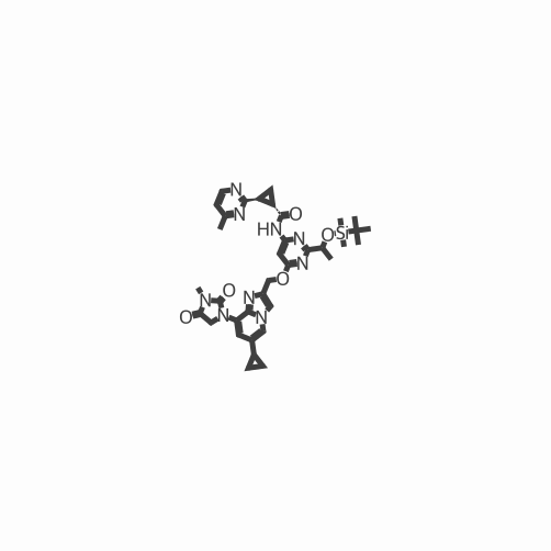 Cc1ccnc([C@H]2C[C@@H]2C(=O)Nc2cc(OCc3cn4cc(C5CC5)cc(N5CC(=O)N(C)C5=O)c4n3)nc(C(C)O[Si](C)(C)C(C)(C)C)n2)n1